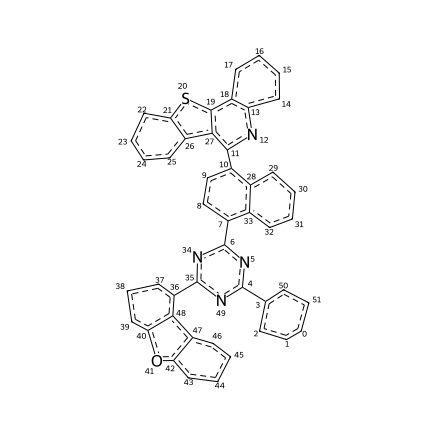 c1ccc(-c2nc(-c3ccc(-c4nc5ccccc5c5sc6ccccc6c45)c4ccccc34)nc(-c3cccc4oc5ccccc5c34)n2)cc1